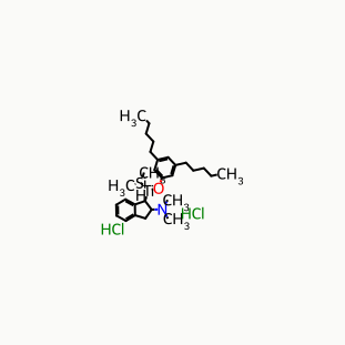 CCCCCc1cc(CCCCC)cc([O][Ti]([CH]2c3ccccc3CC2N(C)C)[SiH](C)C)c1.Cl.Cl